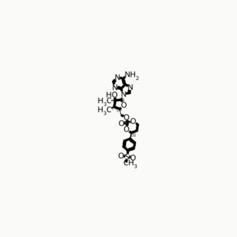 C[C@@H]1[C@@H](COP2(=O)OCC[C@@H](c3ccc(S(C)(=O)=O)cc3)O2)O[C@@H](n2cnc3c(N)ncnc32)[C@]1(C)O